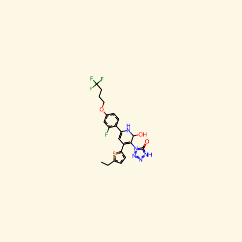 CCc1ccc(C2=C(n3nn[nH]c3=O)C(O)NC(c3ccc(OCCCC(F)(F)F)cc3F)=C2)s1